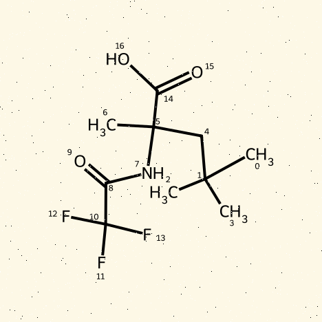 CC(C)(C)CC(C)(NC(=O)C(F)(F)F)C(=O)O